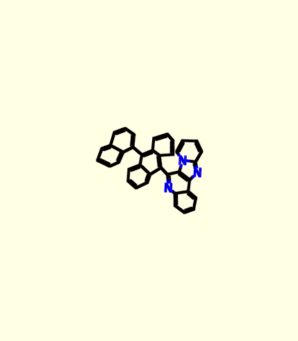 c1ccc2c(-c3c4ccccc4c(-c4nc5ccccc5c5nc6ccccn6c45)c4ccccc34)cccc2c1